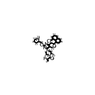 C=C(F)C(=O)N1CCN(c2nc(OCC3CCCN3C)nc3c2COC(c2cccc4cccc(Cl)c24)C3)C[C@H]1C